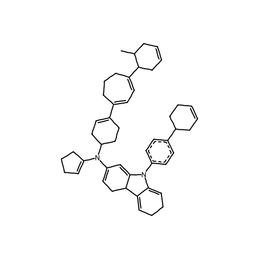 CC1CC=CCC1C1=CC=C(C2=CCC(N(C3=CCC4C5=CCCC=C5N(c5ccc(C6CC=CCC6)cc5)C4=C3)C3=CCCC3)CC2)CCC1